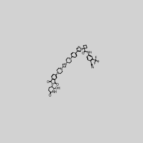 N#Cc1ccc(NC(=O)C2(n3cc(-c4ccc(N5CCC(N6CC(N7CCN(c8ccc9c(c8)C(=O)N(C8CCC(=O)NC8O)C9=O)CC7)C6)CC5)cc4)cn3)CCC2)cc1C(F)(F)F